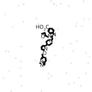 O=C(O)c1ccc2nc(CN3CCC(c4cccc(OCc5ccc6cncn6c5)n4)CC3)n(CC3CCO3)c2c1